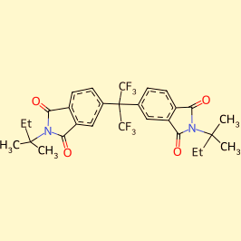 CCC(C)(C)N1C(=O)c2ccc(C(c3ccc4c(c3)C(=O)N(C(C)(C)CC)C4=O)(C(F)(F)F)C(F)(F)F)cc2C1=O